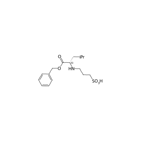 CC(C)C[C@H](NCCCS(=O)(=O)O)C(=O)OCc1ccccc1